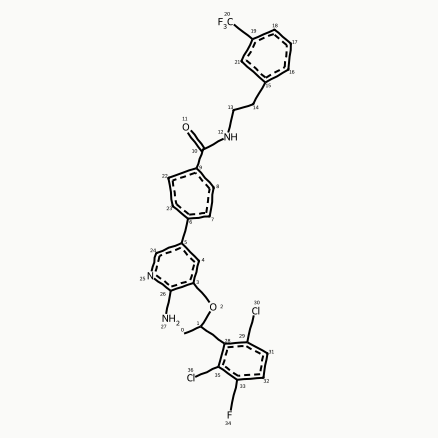 CC(Oc1cc(-c2ccc(C(=O)NCCc3cccc(C(F)(F)F)c3)cc2)cnc1N)c1c(Cl)ccc(F)c1Cl